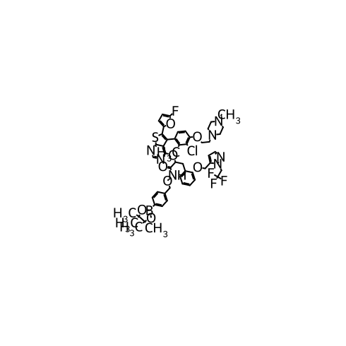 Cc1c(-c2c(-c3ccc(F)o3)sc3ncnc(OC(Cc4ccccc4OCc4ccnn4CC(F)(F)F)C(=O)NOCc4ccc(B5OC(C)(C)C(C)(C)O5)cc4)c23)ccc(OCCN2CCN(C)CC2)c1Cl